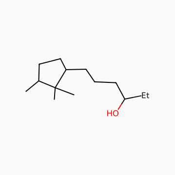 CCC(O)CCCC1CCC(C)C1(C)C